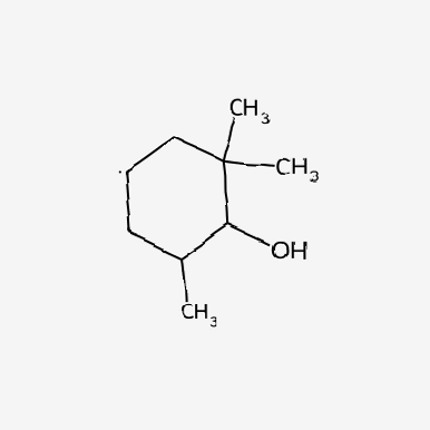 CC1C[CH]CC(C)(C)C1O